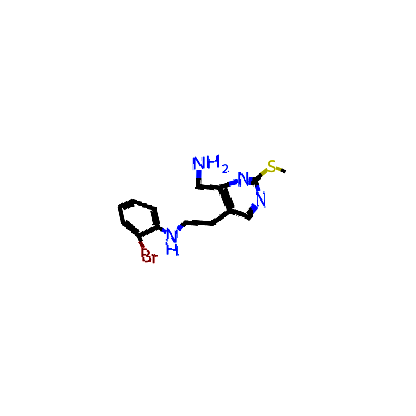 CSc1ncc(CCNc2ccccc2Br)c(CN)n1